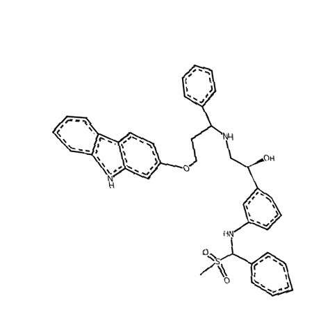 CS(=O)(=O)C(Nc1cccc([C@H](O)CNC(CCOc2ccc3c(c2)[nH]c2ccccc23)c2ccccc2)c1)c1ccccc1